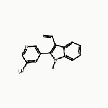 C=Cc1c(-c2cncc(N)c2)n(C)c2ccccc12